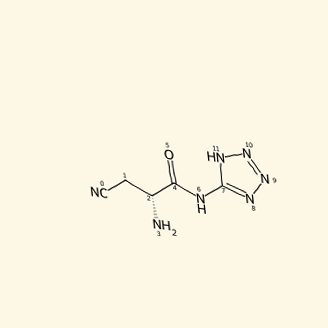 N#CC[C@@H](N)C(=O)Nc1nnn[nH]1